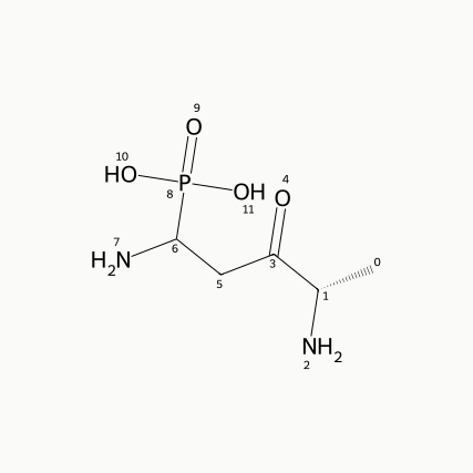 C[C@H](N)C(=O)CC(N)P(=O)(O)O